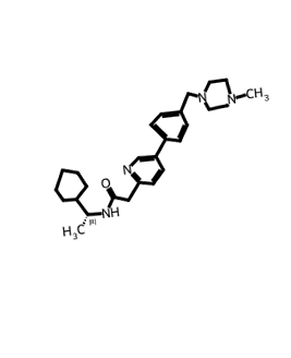 C[C@@H](NC(=O)Cc1ccc(-c2ccc(CN3CCN(C)CC3)cc2)cn1)C1CCCCC1